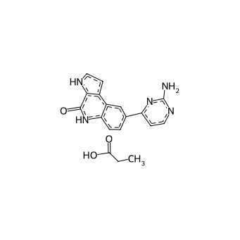 CCC(=O)O.Nc1nccc(-c2ccc3[nH]c(=O)c4[nH]ccc4c3c2)n1